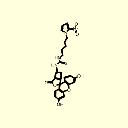 O=C1OC2(c3ccc(O)cc3Oc3cc(O)ccc32)c2ccc(NC(=S)NCCCCCn3cccc3[N+](=O)[O-])cc21